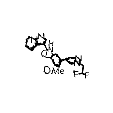 COc1cc(C)c(NC(=O)c2cnn3ccccc23)cc1-c1cnn(CC(F)F)c1